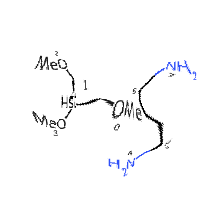 CO[SiH](OC)OC.NCCN